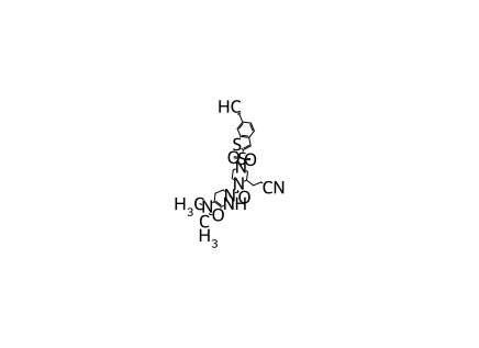 C#Cc1ccc2cc(S(=O)(=O)N3CCN(C(=O)N4CCC5=C(N4)OC(C)N5C)C(CCC#N)C3)sc2c1